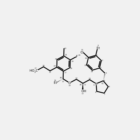 CCc1cc(C[C@@H]2CCCN2C[C@@H](O)CO[C@H](CC)c2cc(F)c(C)cc2CCC(=O)O)ccc1Cl